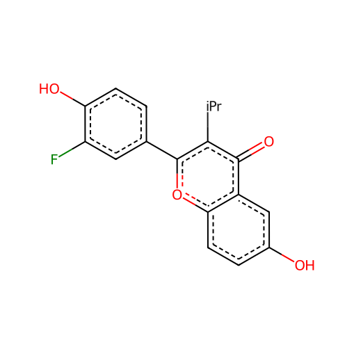 CC(C)c1c(-c2ccc(O)c(F)c2)oc2ccc(O)cc2c1=O